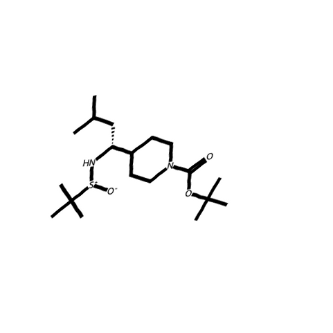 CC(C)C[C@@H](N[S+]([O-])C(C)(C)C)C1CCN(C(=O)OC(C)(C)C)CC1